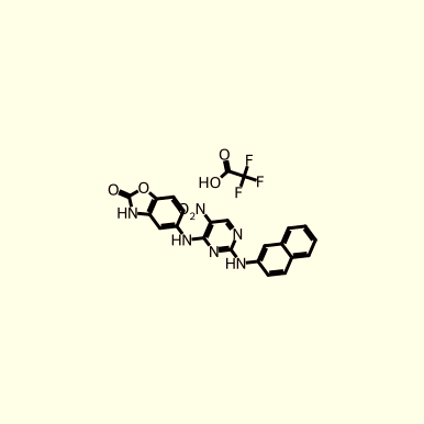 O=C(O)C(F)(F)F.O=c1[nH]c2cc(Nc3nc(Nc4ccc5ccccc5c4)ncc3[N+](=O)[O-])ccc2o1